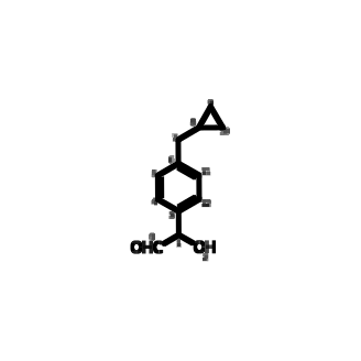 O=CC(O)c1ccc(CC2CC2)cc1